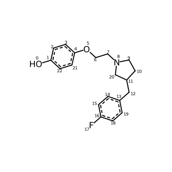 Oc1ccc(OCCN2CCC(Cc3ccc(F)cc3)C2)cc1